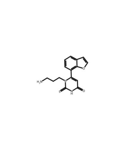 NCCCn1c(-c2cccc3ccoc23)cc(=O)[nH]c1=S